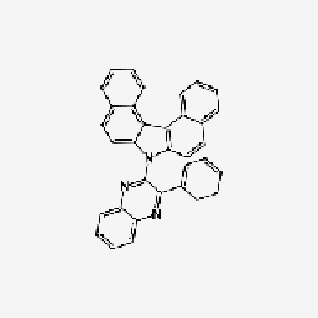 C1=CCCC(c2nc3ccccc3nc2-n2c3ccc4ccccc4c3c3c4ccccc4ccc32)=C1